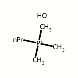 CCC[P+](C)(C)C.[OH-]